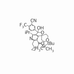 CC(C)c1nc2c(c3c1C(O)(c1ccc(C(F)(F)F)c(C#N)c1)OC31CCOCC1)[C@@H](O[Si](C)(C)C(C)(C)C)CC1(CC1)C2